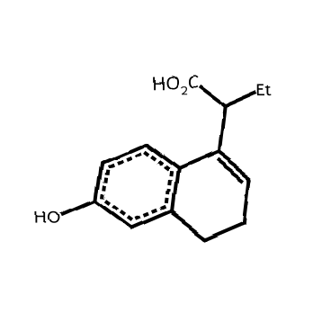 CCC(C(=O)O)C1=CCCc2cc(O)ccc21